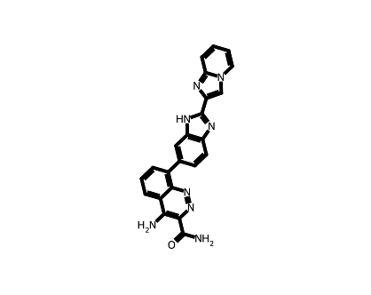 NC(=O)c1nnc2c(-c3ccc4nc(-c5cn6ccccc6n5)[nH]c4c3)cccc2c1N